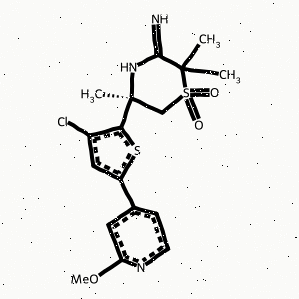 COc1cc(-c2cc(Cl)c([C@]3(C)CS(=O)(=O)C(C)(C)C(=N)N3)s2)ccn1